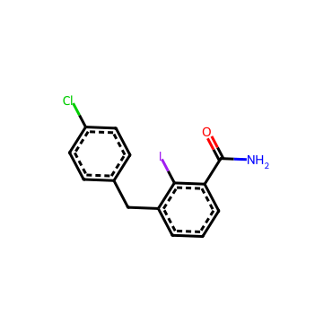 NC(=O)c1cccc(Cc2ccc(Cl)cc2)c1I